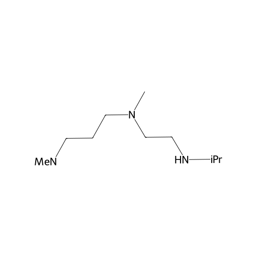 CNCCCN(C)CCNC(C)C